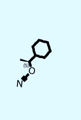 C[C@H](OC#N)C1CCCCC1